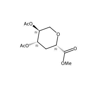 COC(=O)[C@@H]1C[C@H](OC(C)=O)[C@@H](OC(C)=O)CO1